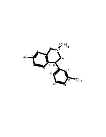 CN1Cc2cc(F)ccc2C(c2cccc(Cl)c2)C1